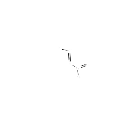 O=[N+]([O-])/N=[N+]/[O-]